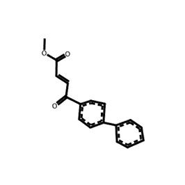 COC(=O)C=CC(=O)c1ccc(-c2ccccc2)cc1